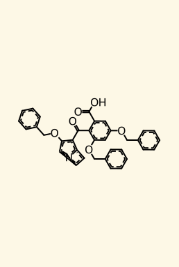 O=C(O)c1cc(OCc2ccccc2)cc(OCc2ccccc2)c1C(=O)c1c(OCc2ccccc2)c2c3cc1n2-3